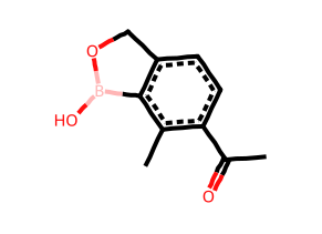 CC(=O)c1ccc2c(c1C)B(O)OC2